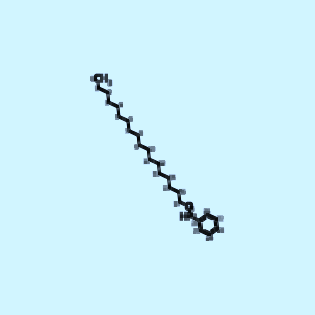 CCCCCCCCCCCCCCCCCCOPc1ccccc1